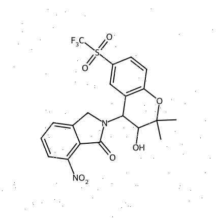 CC1(C)Oc2ccc(S(=O)(=O)C(F)(F)F)cc2C(N2Cc3cccc([N+](=O)[O-])c3C2=O)C1O